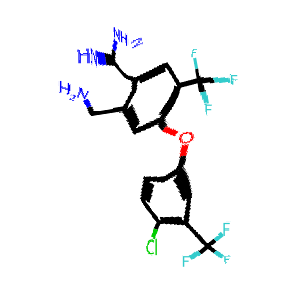 N=C(N)c1cc(C(F)(F)F)c(Oc2ccc(Cl)c(C(F)(F)F)c2)cc1CN